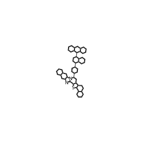 c1ccc2cc3c(cc2c1)nc1c2sc4c5ccccc5ccc4c2cc(-c2ccc(-c4ccc(-c5c6ccccc6cc6ccccc56)c5ccccc45)cc2)n31